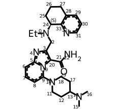 CCN(Cc1nc2cccc(N3CCC(N(C)C)CC3)n2c1C(N)=O)[C@H]1CCCc2cccnc21